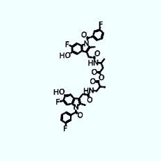 Cc1c(CC(=O)NCC(C)C(=O)OC(=O)CC(C)NC(=O)Cc2c(C)n(C(=O)c3cccc(F)c3)c3cc(F)c(O)cc23)c2cc(O)c(F)cc2n1C(=O)c1cccc(F)c1